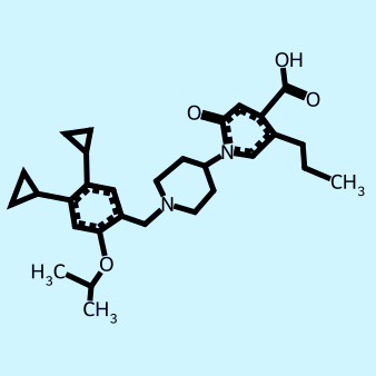 CCCc1cn(C2CCN(Cc3cc(C4CC4)c(C4CC4)cc3OC(C)C)CC2)c(=O)cc1C(=O)O